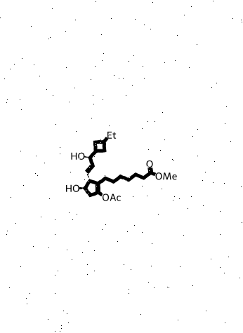 CCC1CC([C@@H](O)/C=C/[C@@H]2C(CCCCCCC(=O)OC)=C(OC(C)=O)C[C@H]2O)C1